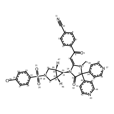 CN1C(=CC(=O)c2ccc(C#N)cc2)N([C@H]2[C@@H]3CN(S(=O)(=O)c4ccc(Cl)cc4)C[C@@H]32)C(=O)C1(c1ccncc1)c1ccncc1